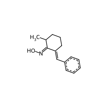 CC1CCCC(=C\c2ccccc2)/C1=N/O